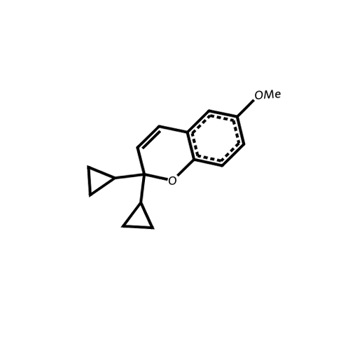 COc1ccc2c(c1)C=CC(C1CC1)(C1CC1)O2